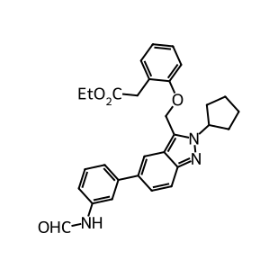 CCOC(=O)Cc1ccccc1OCc1c2cc(-c3cccc(NC=O)c3)ccc2nn1C1CCCC1